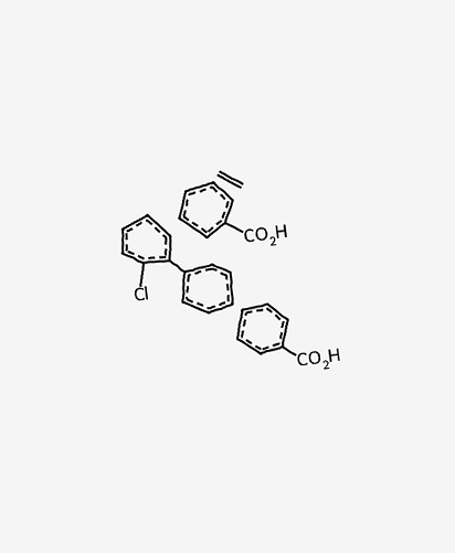 C=C.Clc1ccccc1-c1ccccc1.O=C(O)c1ccccc1.O=C(O)c1ccccc1